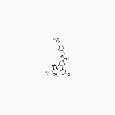 CCSc1ccc(CNC(=O)N2CC(c3cccc(Cl)c3)C(c3nc(C(C)C)no3)C2)cc1